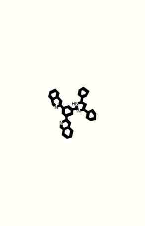 C1=CC2C=NC(c3cc(C4=NC(c5ccccc5)=CC(c5ccccc5)N4)cc(-c4cc5ccccc5cn4)c3)=CC2C=C1